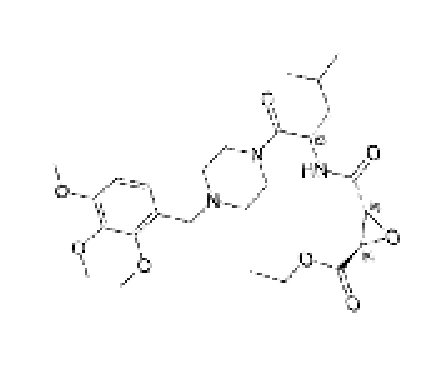 CCOC(=O)[C@@H]1O[C@H]1C(=O)N[C@@H](CC(C)C)C(=O)N1CCN(Cc2ccc(OC)c(OC)c2OC)CC1